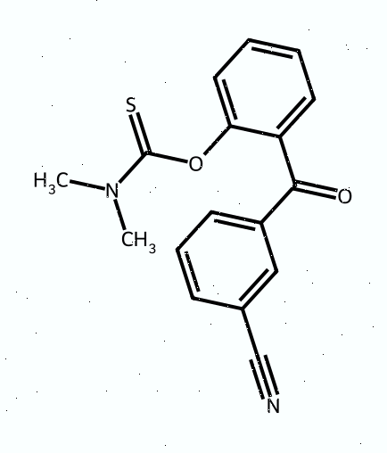 CN(C)C(=S)Oc1ccccc1C(=O)c1cccc(C#N)c1